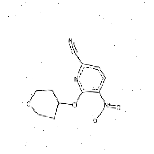 N#Cc1ccc([N+](=O)[O-])c(OC2CCOCC2)n1